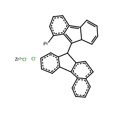 CC(C)c1cccc2c1=C(C1c3ccccc3-c3c1ccc1ccccc31)C1C=CC=CC=21.[Cl-].[Cl-].[Zr+2]